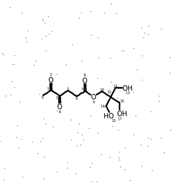 CC(=O)C(=O)CCC(=O)OCC(CO)(CO)CO